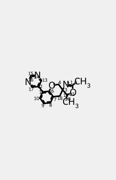 CC1=NC2(COc3c(cccc3-c3cncnc3)C2)C(C)O1